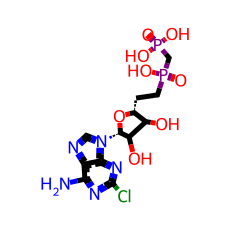 Nc1nc(Cl)nc2c1ncn2[C@@H]1O[C@H](CCP(=O)(O)CP(=O)(O)O)C(O)C1O